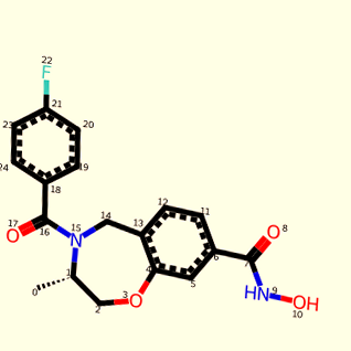 C[C@H]1COc2cc(C(=O)NO)ccc2CN1C(=O)c1ccc(F)cc1